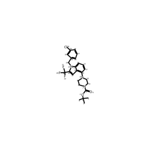 CC(C)(C)OC(=O)N1CCN(c2cccc3c2cc(C(F)(F)F)n3Cc2cccc(Cl)c2)CC1